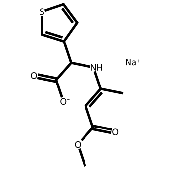 COC(=O)C=C(C)NC(C(=O)[O-])c1ccsc1.[Na+]